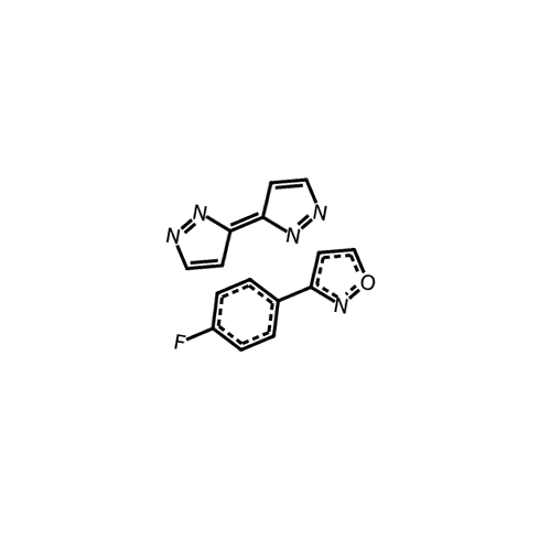 C1=CC(=C2C=CN=N2)N=N1.Fc1ccc(-c2ccon2)cc1